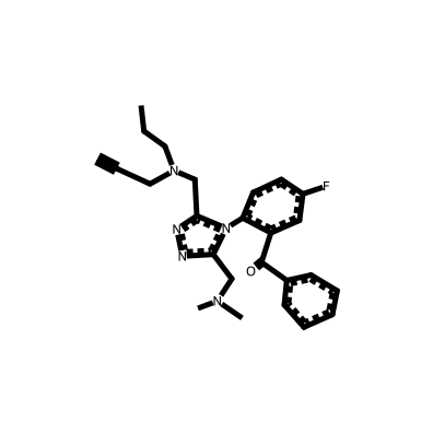 C#CCN(CCC)Cc1nnc(CN(C)C)n1-c1ccc(F)cc1C(=O)c1ccccc1